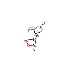 C[C@@H]1CN([C@@H]2CCN(C(C)(C)C)C[C@@H]2F)C[C@H](C)O1